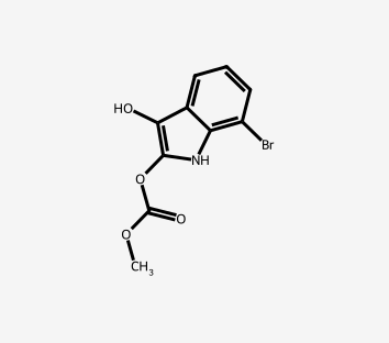 COC(=O)Oc1[nH]c2c(Br)cccc2c1O